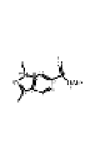 COC(=O)c1ccc2c(C)nn(C)c2c1